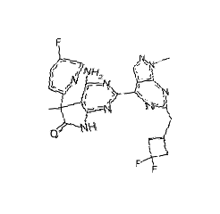 Cn1ncc2c(-c3nc(N)c4c(n3)NC(=O)C4(C)c3ccc(F)cn3)nc(CC3CC(F)(F)C3)nc21